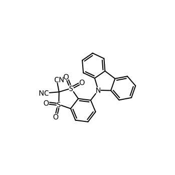 N#CC1(C#N)S(=O)(=O)c2cccc(-n3c4ccccc4c4ccccc43)c2S1(=O)=O